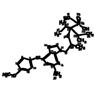 COc1ccc(Sc2nc(N)nc3c2ncn3CC(C)OC(C(C)C)(C(C)C)P(=O)(O)O)cc1